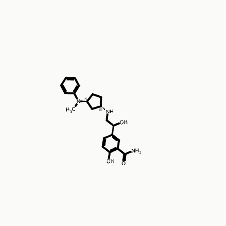 CN(c1ccccc1)[C@H]1CC[C@H](NCC(O)c2ccc(O)c(C(N)=O)c2)C1